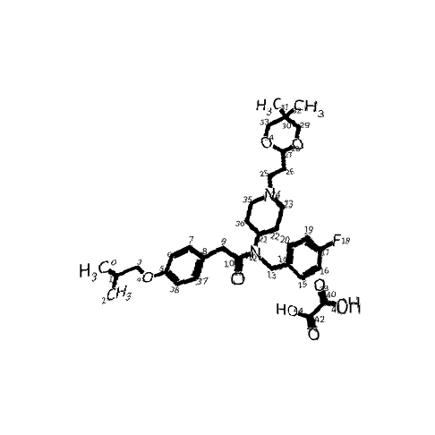 CC(C)COc1ccc(CC(=O)N(Cc2ccc(F)cc2)C2CCN(CCC3OCC(C)(C)CO3)CC2)cc1.O=C(O)C(=O)O